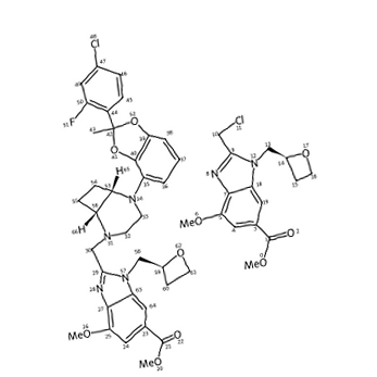 COC(=O)c1cc(OC)c2nc(CCl)n(C[C@@H]3CCO3)c2c1.COC(=O)c1cc(OC)c2nc(CN3CCN(c4cccc5c4OC(C)(c4ccc(Cl)cc4F)O5)[C@H]4CC[C@H]43)n(C[C@@H]3CCO3)c2c1